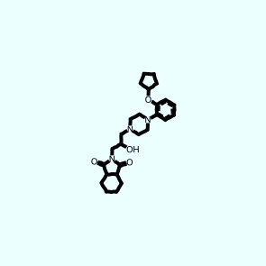 O=C1C2CCCCC2C(=O)N1CC(O)CN1CCN(c2ccccc2OC2CCCC2)CC1